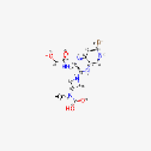 CN(C(=O)O)C1CN(c2nc3cnc(Br)cc3nc2NC(=O)CO)C1